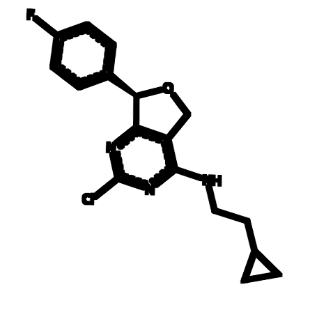 Fc1ccc([C@H]2OCc3c(NCCC4CC4)nc(Cl)nc32)cc1